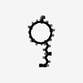 CCN1CCOCCOCCN(CCNCCNC)CCOCC1